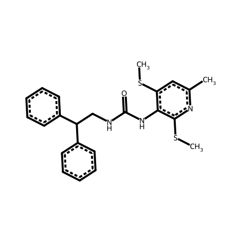 CSc1cc(C)nc(SC)c1NC(=O)NCC(c1ccccc1)c1ccccc1